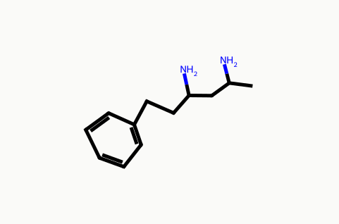 CC(N)CC(N)CCc1ccccc1